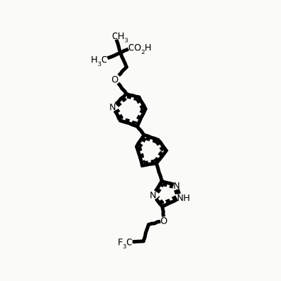 CC(C)(COc1ccc(-c2ccc(-c3n[nH]c(OCCC(F)(F)F)n3)cc2)cn1)C(=O)O